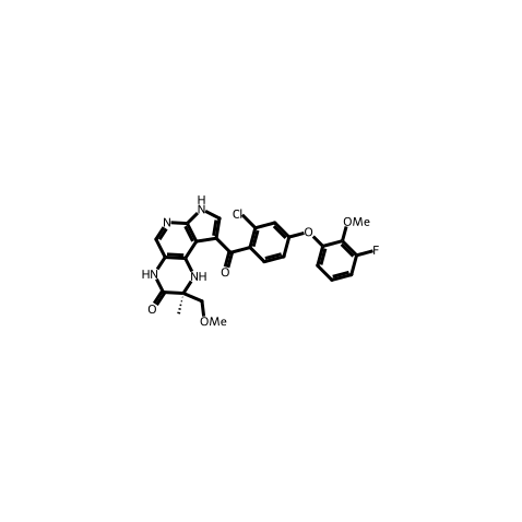 COC[C@]1(C)Nc2c(cnc3[nH]cc(C(=O)c4ccc(Oc5cccc(F)c5OC)cc4Cl)c23)NC1=O